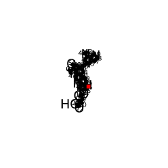 CC(C)C1=C2[C@H]3CC[C@@H]4[C@@]5(C)CC[C@H](OC(=O)CC(C)(C)C(=O)O)C(C)(C)[C@@H]5CC[C@@]4(C)[C@]3(C)CC[C@@]2(CCN(CCN(C)C)Cc2ccncc2)CC1=O